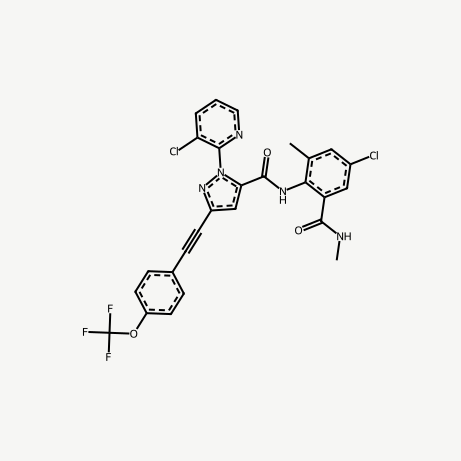 CNC(=O)c1cc(Cl)cc(C)c1NC(=O)c1cc(C#Cc2ccc(OC(F)(F)F)cc2)nn1-c1ncccc1Cl